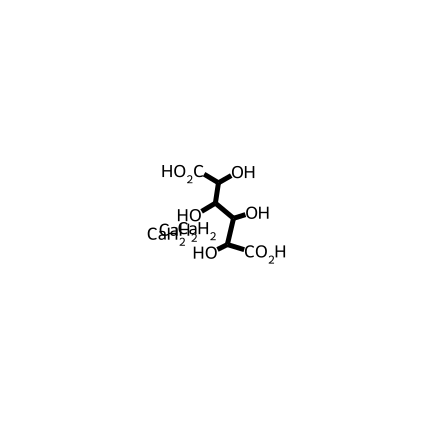 O=C(O)C(O)C(O)C(O)C(O)C(=O)O.[CaH2].[CaH2].[CaH2]